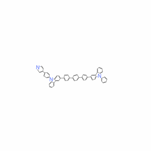 c1ccc(-n2c3ccccc3c3cc(-c4ccc(-c5ccc(-c6ccc(-c7ccc8c(c7)c7ccccc7n8-c7ccc(-c8ccncc8)cc7)cc6)cc5)cc4)ccc32)cc1